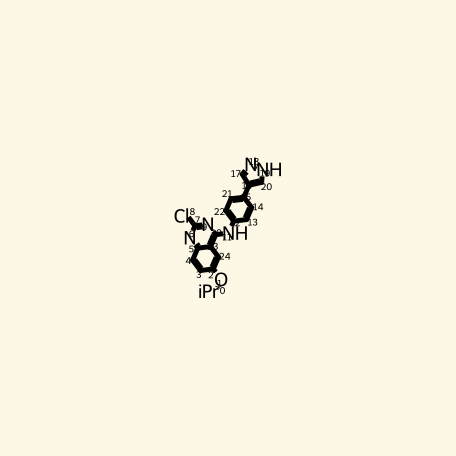 CC(C)Oc1ccc2nc(Cl)nc(Nc3ccc(-c4cn[nH]c4)cc3)c2c1